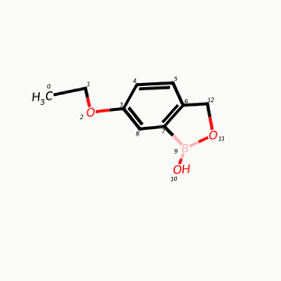 CCOc1ccc2c(c1)B(O)OC2